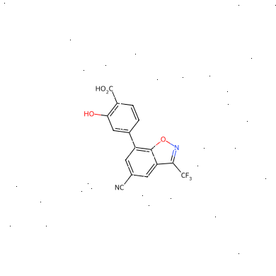 N#Cc1cc(-c2ccc(C(=O)O)c(O)c2)c2onc(C(F)(F)F)c2c1